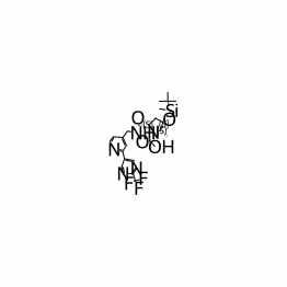 C[C@H]1[C@@H](O[Si](C)(C)C(C)(C)C)C[C@@H](C(=O)NCc2ccnc(-c3cnc(C(F)(F)F)nc3)c2)N1C(=O)O